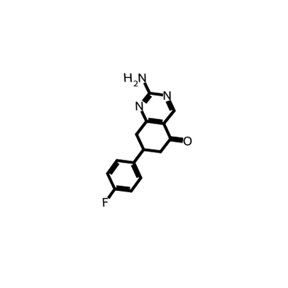 Nc1ncc2c(n1)CC(c1ccc(F)cc1)CC2=O